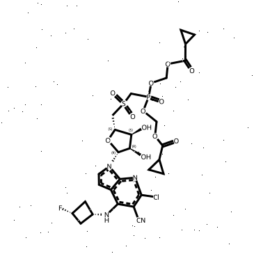 N#Cc1c(Cl)nc2c(ccn2[C@@H]2O[C@H](CS(=O)(=O)CP(=O)(OCOC(=O)C3CC3)OCOC(=O)C3CC3)[C@@H](O)[C@H]2O)c1N[C@H]1C[C@@H](F)C1